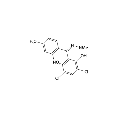 CNN=C(c1ccc(C(F)(F)F)cc1[N+](=O)[O-])c1cc(Cl)cc(Cl)c1O